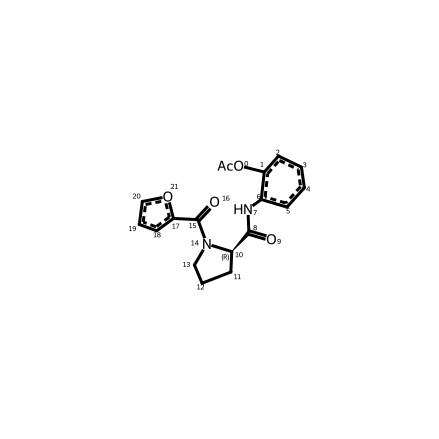 CC(=O)Oc1ccccc1NC(=O)[C@H]1CCCN1C(=O)c1ccco1